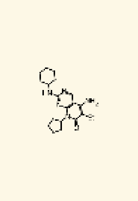 CCc1c(N)c2cnc(NC3CCCCC3)nc2n(C2CCCC2)c1=O